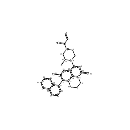 C=CC(=O)N1CCN(c2nc(=O)n3c4c(c(-c5cccc6cnccc56)c(Cl)cc24)SCC3)[C@@H](C)C1